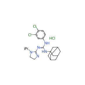 CC(C)N1CCN=C1/N=C(/Nc1ccc(Cl)c(Cl)c1)NC12CC3CC(CC(C3)C1)C2.Cl